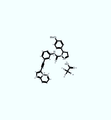 COc1ccc(C2CC=NN2C(=O)Nc2cccc(C#Cc3cnc4cccnn34)c2)cc1.O=C(O)C(F)(F)F